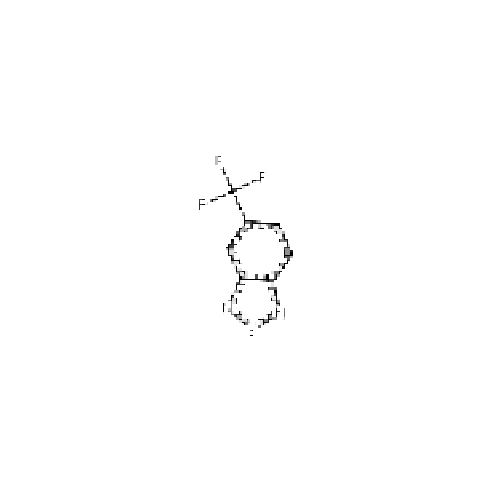 FC(F)(F)c1ccc2nsnc2c1